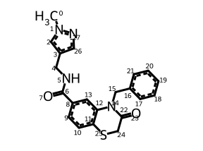 Cn1cc(CNC(=O)c2ccc3c(c2)N(Cc2ccccc2)C(=O)CS3)cn1